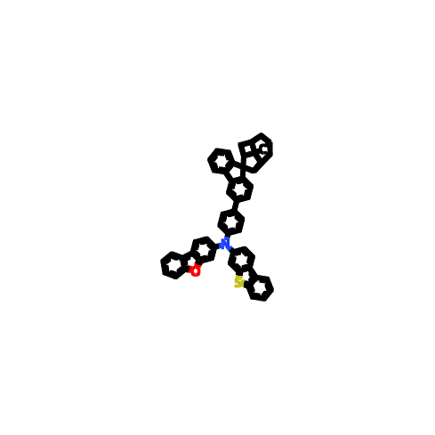 c1ccc2c(c1)-c1cc(-c3ccc(N(c4ccc5c(c4)oc4ccccc45)c4ccc5c(c4)sc4ccccc45)cc3)ccc1C21C2CC3CC4CC1C4(C3)C2